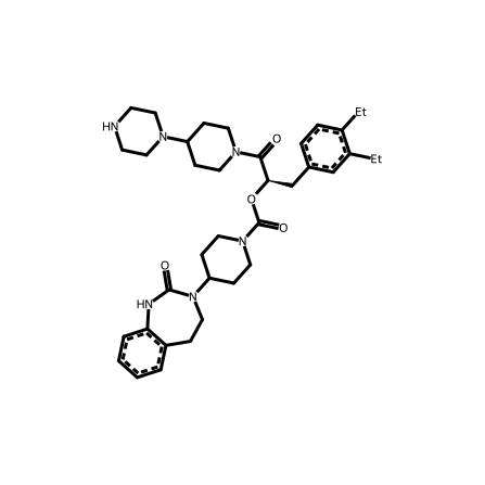 CCc1ccc(C[C@@H](OC(=O)N2CCC(N3CCc4ccccc4NC3=O)CC2)C(=O)N2CCC(N3CCNCC3)CC2)cc1CC